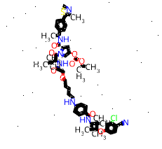 Cc1ncsc1-c1ccc(C(C)NC(=O)[C@@H]2C[C@@H](OC(=O)OC(C)C)CN2C(=O)[C@@H](NC(=O)COCCCCCNc2ccc(C(=O)N[C@H]3C(C)(C)[C@H](Oc4ccc(C#N)c(Cl)c4)C3(C)C)cc2)C(C)(C)C)cc1